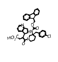 O=C(O)CC(C(=O)N1CCCC(Cc2ccc(Cl)cc2)(NC(=O)OCC2c3ccccc3-c3ccccc32)C1)C1CCc2ncccc21